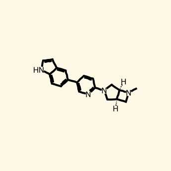 CN1C[C@H]2CN(c3ccc(-c4ccc5[nH]ccc5c4)cn3)C[C@H]21